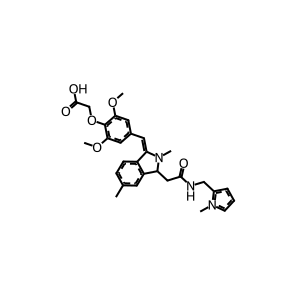 COc1cc(/C=C2\c3ccc(C)cc3C(CC(=O)NCc3cccn3C)N2C)cc(OC)c1OCC(=O)O